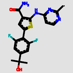 [CH2]c1nccc(Nc2sc(-c3c(F)cc(C(C)(C)O)cc3F)cc2C(N)=O)n1